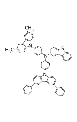 Cc1ccc2c(c1)c1cc(C)ccc1n2-c1ccc(N(c2ccc(-n3c4ccc(-c5ccccc5)cc4c4cc(-c5ccccc5)ccc43)cc2)c2ccc3sc4ccccc4c3c2)cc1